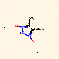 Cc1c(C)[n+]([O-])[nH][n+]1[O-]